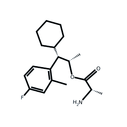 Cc1cc(F)ccc1[C@H](C1CCCCC1)[C@H](C)OC(=O)[C@H](C)N